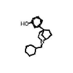 Oc1cccc(C23CCC(C2)N(CC2CCCCC2)CC3)c1